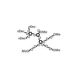 CCCCCCCCCCCCOc1cc(COc2cc(OCc3cc(OCCOCCOCCOC)c(OCCOCCOCCOC)c(OCCOCCOCCOC)c3)cc(C(=O)OC)c2)cc(OCCCCCCCCCCCC)c1OCCCCCCCCCCCC